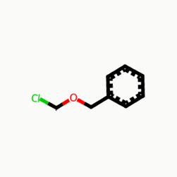 Cl[CH]OCc1ccccc1